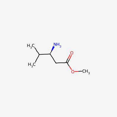 COC(=O)C[C@H](N)C(C)C